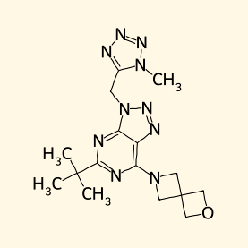 Cn1nnnc1Cn1nnc2c(N3CC4(COC4)C3)nc(C(C)(C)C)nc21